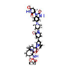 CC(C)(C)OC(=O)N[C@H]1CCCC[C@H]2CC[C@@H](C(=O)N3C[C@@H](c4ccn(C5CCN(c6ccc7c(c6)[nH]c(=O)n7C6CCC(=O)NC6=O)CC5)c(=O)c4)CC34CC4)N2C1=O